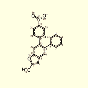 Cc1cc2cc(-c3ccccc3)c(-c3ccc([N+](=O)[O-])cc3)cc2o1